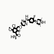 CNC(=O)c1cc(OC)c(Cl)c(COc2cnc(Nc3ccc(N4C[C@@H](C)N[C@@H](C)C4)c(F)c3)nc2)c1F